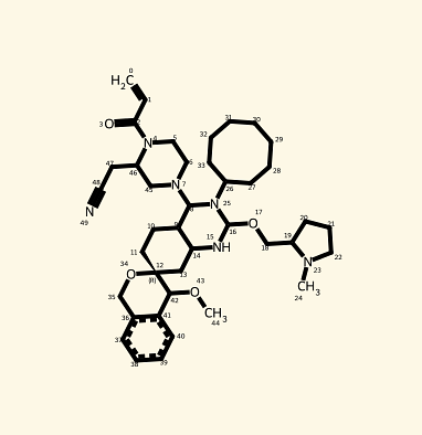 C=CC(=O)N1CCN(C2C3CC[C@]4(CC3NC(OCC3CCCN3C)N2C2CCCCCCC2)OCc2ccccc2C4OC)CC1CC#N